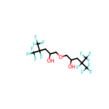 OC(COCC(O)CC(F)(C(F)(F)F)C(F)(F)F)CC(F)(C(F)(F)F)C(F)(F)F